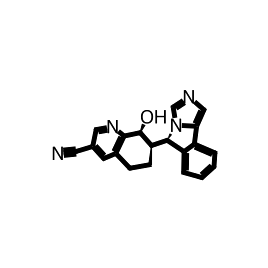 N#Cc1cnc2c(c1)CC[C@H]([C@H]1c3ccccc3-c3cncn31)[C@@H]2O